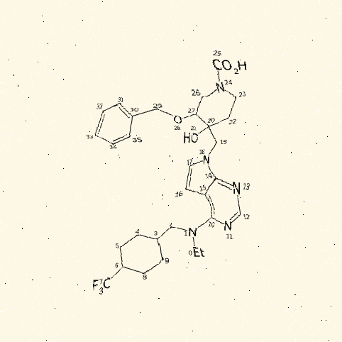 CCN(CC1CCC(C(F)(F)F)CC1)c1ncnc2c1ccn2CC1(O)CCN(C(=O)O)CC1OCc1ccccc1